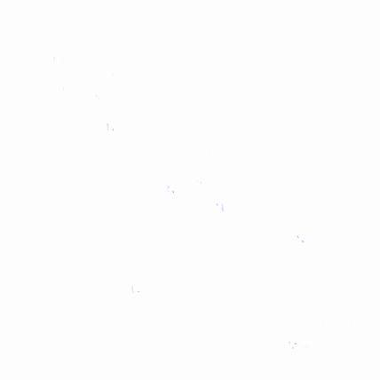 COC(=O)c1ccc(Cn2c(=O)n(C3CCN(C(=O)OC(C)(C)C)C3)c3cc(Br)c(F)cc32)nc1